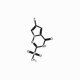 CS(=O)(=O)c1nn2cc(F)cc2c(=O)[nH]1